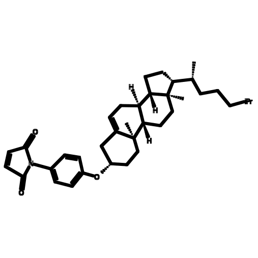 CC(C)CCC[C@@H](C)[C@H]1CC[C@H]2[C@@H]3CC=C4C[C@@H](Oc5ccc(N6C(=O)C=CC6=O)cc5)CC[C@]4(C)[C@H]3CC[C@]12C